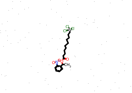 CC(OC(=O)CCCCCCCCCC[Si](Cl)(Cl)Cl)c1ccccc1[N+](=O)[O-]